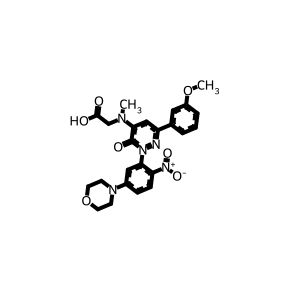 COc1cccc(-c2cc(N(C)CC(=O)O)c(=O)n(-c3cc(N4CCOCC4)ccc3[N+](=O)[O-])n2)c1